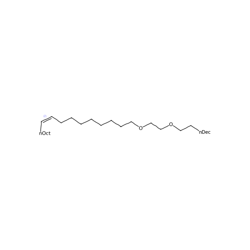 CCCCCCCC/C=C\CCCCCCCCOCCOCCCCCCCCCCCC